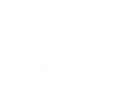 Cc1c(NC(=O)CN(C)C)c2cc(-c3ccc(Cl)cc3)c(-c3ccc(Cl)cc3Cl)nc2n(CC(C)C)c1=O